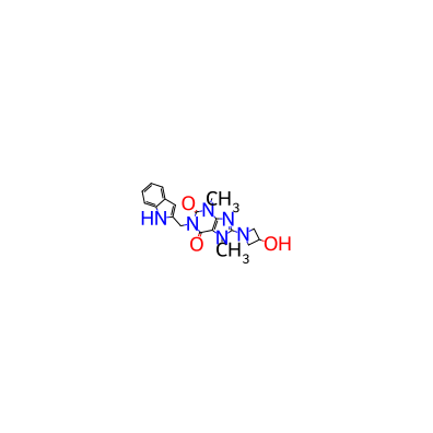 Cn1c(N2CC(O)C2)nc2c1c(=O)n(Cc1cc3ccccc3[nH]1)c(=O)n2C